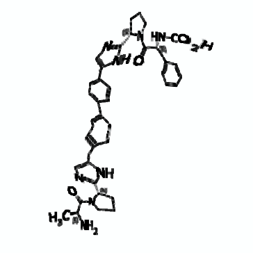 C[C@H](N)C(=O)N1CCC[C@H]1c1ncc(-c2ccc(-c3ccc(-c4cnc([C@@H]5CCCN5C(=O)[C@H](NC(=O)O)c5ccccc5)[nH]4)cc3)cc2)[nH]1